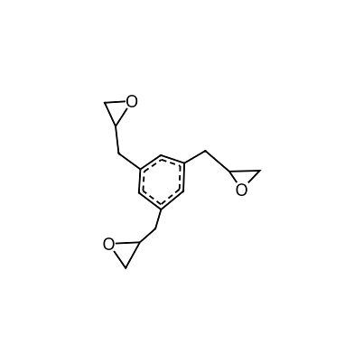 c1c(CC2CO2)cc(CC2CO2)cc1CC1CO1